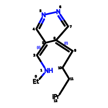 CCN/C=c1/cnnc/c1=C/CCC(C)C